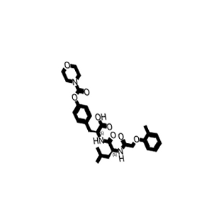 Cc1ccccc1OCC(=O)N[C@@H](CC(C)C)C(=O)N[C@@H](Cc1ccc(OC(=O)N2CCOCC2)cc1)C(=O)O